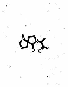 CC(=O)C(C)N1CCC2(CCCN2C)C1=O